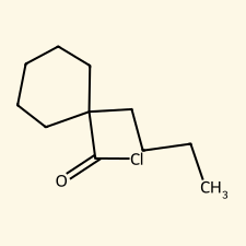 CCCCC1(C(=O)Cl)CCCCC1